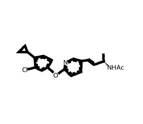 CC(=O)N[C@@H](C)/C=C/c1ccc(Oc2ccc(C3CC3)c(Cl)c2)nc1